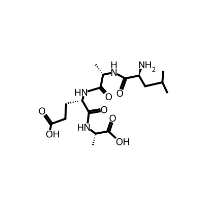 CC(C)C[C@H](N)C(=O)N[C@@H](C)C(=O)N[C@@H](CCC(=O)O)C(=O)N[C@@H](C)C(=O)O